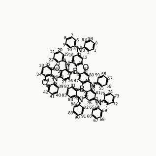 c1ccc(N(c2ccccc2)c2cc3c4c(c2)N(c2ccccc2)c2c(ccc5c2Oc2cccc6c2N5c2ccccc2O6)B4c2cc4c(cc2O3)N(c2ccccc2)c2cc(N(c3ccccc3)c3ccccc3)cc3c2B4c2ccccc2N3c2ccccc2)cc1